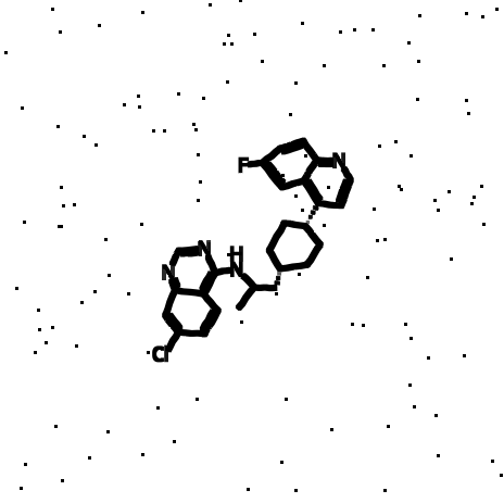 CC(C[C@H]1CC[C@@H](c2ccnc3ccc(F)cc32)CC1)Nc1ncnc2cc(Cl)ccc12